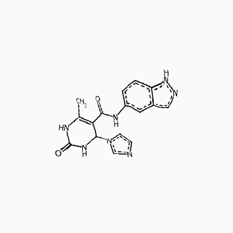 CC1=C(C(=O)Nc2ccc3[nH]ncc3c2)C(n2ccnc2)NC(=O)N1